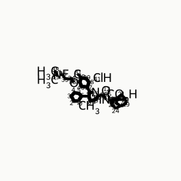 Cc1ccccc1-c1ccc(C(=O)NC2(C(=O)O)C3CC4CC(C3)CC2C4)nc1-c1ccc(C(F)(F)F)c(OCCCN(C)C)c1.Cl